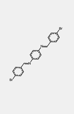 Brc1ccc(C=Nc2ccc(N=Cc3ccc(Br)cc3)cc2)cc1